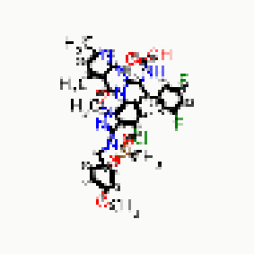 COc1ccc(CN(c2nn(C)c3c(-n4c(C(Cc5cc(F)cc(F)c5)NC(=O)O)nc5nc(C)cc(C)c5c4=O)ccc(Cl)c23)S(C)(=O)=O)cc1